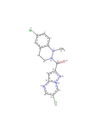 CN1c2ccc(Br)cc2CCN1C(=O)c1cc2ncc(Cl)cn2n1